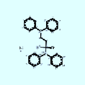 BrC(Br)(CCP(c1ccccc1)c1ccccc1)P(c1ccccc1)c1ccccc1.[Ni]